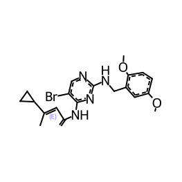 C=C(/C=C(\C)C1CC1)Nc1nc(NCc2cc(OC)ccc2OC)ncc1Br